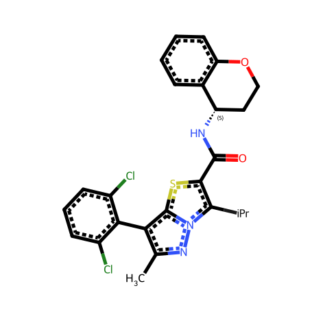 Cc1nn2c(C(C)C)c(C(=O)N[C@H]3CCOc4ccccc43)sc2c1-c1c(Cl)cccc1Cl